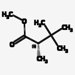 COC(=O)[C@@H](C)C(C)(C)C